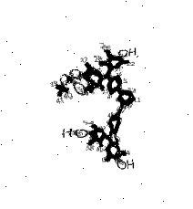 Cc1cc(C(c2ccc(-c3cccc(-c4ccc(C(c5cc(C)c(O)c(C)c5C)c5cc(C)c(OC(=O)OC(C)(C)C)c(C)c5C)cc4)c3)cc2)c2cc(C)c(O)c(C)c2C)c(C)c(C)c1O